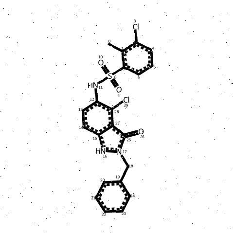 Cc1c(Cl)cccc1S(=O)(=O)Nc1ccc2[nH]n(Cc3ccccc3)c(=O)c2c1Cl